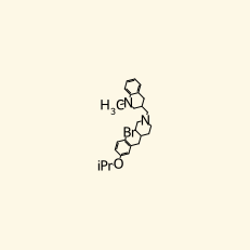 CC(C)Oc1ccc(Br)c(CC2CCN(CC3Cc4ccccc4N(C)C3)CC2)c1